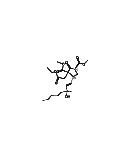 CCCCCC(C)(O)C=C[C@H]1C[C@H](C(=O)OC)C(=O)C1(CC(=O)OCC)C(=O)OC